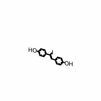 Oc1ccc(C=C(I)c2ccc(O)cc2)cc1